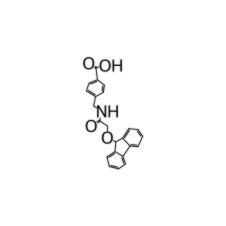 O=C(COC1c2ccccc2-c2ccccc21)NCc1ccc(C(=O)O)cc1